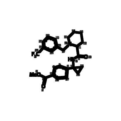 COC(=O)c1ccc(C2(NC(=O)C3CCCCN3Cc3cccc(C(F)(F)F)c3)CC2)cc1